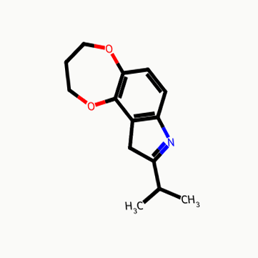 CC(C)C1=Nc2ccc3c(c2C1)OCCCO3